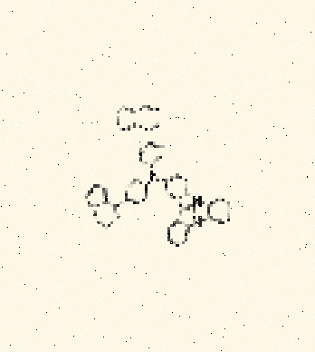 c1ccc2c(-c3ccc(N(c4ccc(-c5cccc6ccccc56)cc4)c4ccc5c(c4)c4c6ccccc6n6c7ccccc7n5c46)cc3)cccc2c1